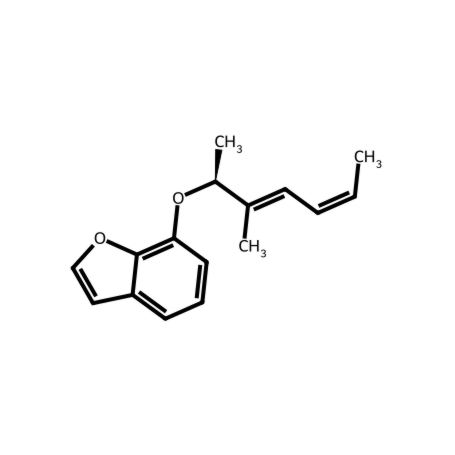 C/C=C\C=C(/C)[C@H](C)Oc1cccc2ccoc12